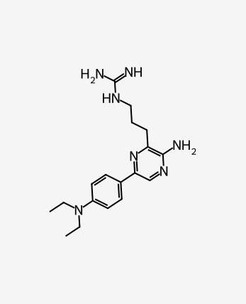 CCN(CC)c1ccc(-c2cnc(N)c(CCCNC(=N)N)n2)cc1